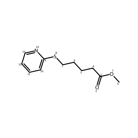 COC(=O)CCCCSc1ccccn1